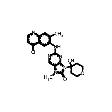 Cc1cc2nccc(Cl)c2cc1Nc1ncc2c(n1)n(C1(C#N)CCOCC1)c(=O)n2C